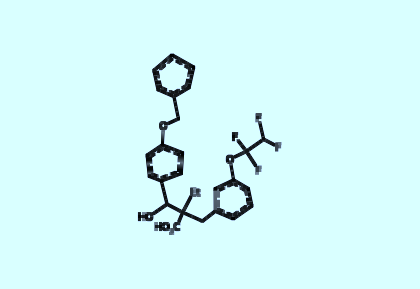 CCC(Cc1cccc(OC(F)(F)C(F)F)c1)(C(=O)O)C(O)c1ccc(OCc2ccccc2)cc1